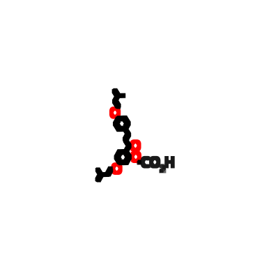 C=C(C)C=COc1ccc(C=CC(=O)c2ccc(OC=CC(=C)C)cc2OCC(=O)O)cc1